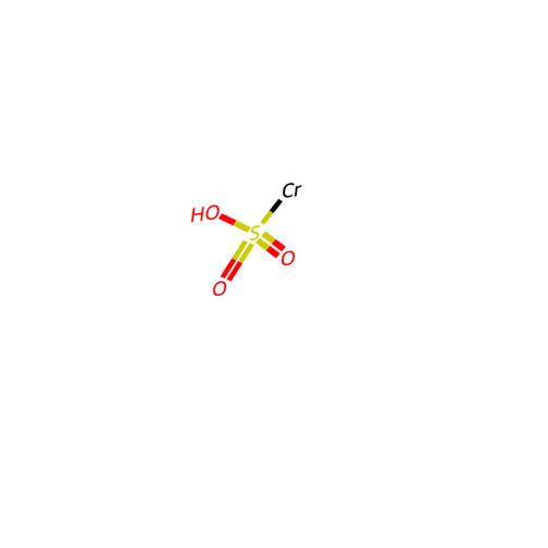 O=[S](=O)(O)[Cr]